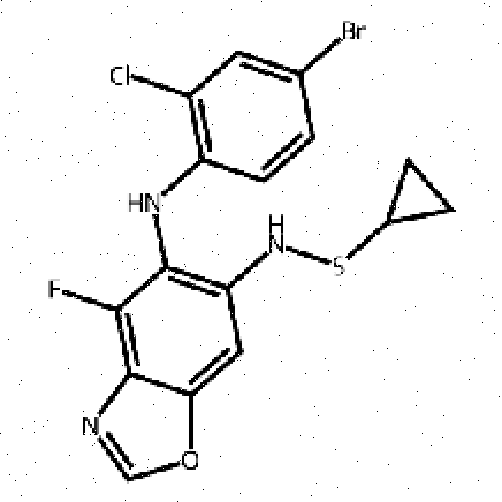 Fc1c(Nc2ccc(Br)cc2Cl)c(NSC2CC2)cc2ocnc12